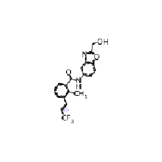 Cc1c(/C=C/C(F)(F)F)cccc1C(=O)Nc1ccc2oc(CO)nc2c1